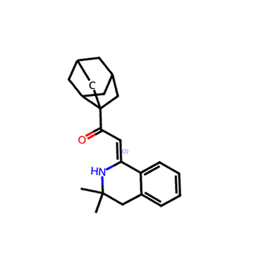 CC1(C)Cc2ccccc2/C(=C/C(=O)C23CC4CC(CC2C4)C3)N1